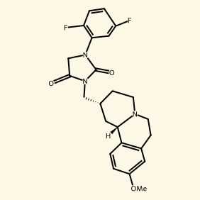 COc1ccc2c(c1)CCN1CC[C@@H](CN3C(=O)CN(c4cc(F)ccc4F)C3=O)C[C@@H]21